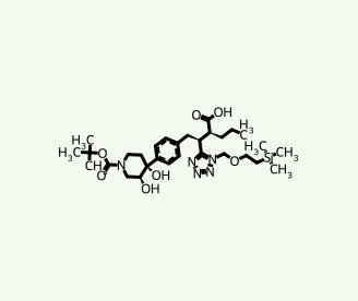 CCC[C@H](C(=O)O)[C@H](Cc1ccc([C@@]2(O)CCN(C(=O)OC(C)(C)C)C[C@@H]2O)cc1)c1nnnn1COCC[Si](C)(C)C